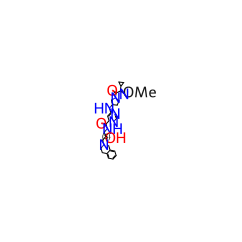 CON=C(C(=O)N1CCC(Nc2cc(C(=O)NC[C@H](O)CN3CCc4ccccc4C3)ncn2)C1)C1CC1